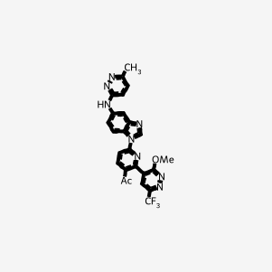 COc1nnc(C(F)(F)F)cc1-c1nc(-n2cnc3cc(Nc4ccc(C)nn4)ccc32)ccc1C(C)=O